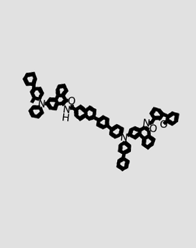 CC1C=C(c2ccccc2)C=CC1N(c1ccccc1)c1ccc2c3c(c4ccccc4c2c1)OC(c1ccc2cc(-c4ccc(-c5ccc(N(c6ccc(-c7ccccc7)cc6)c6ccc7c(c6)c6ccccc6c6oc(-c8cccc9c8oc8ccccc89)nc76)cc5)cc4)ccc2c1)N3